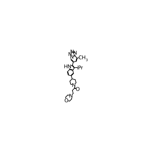 Cc1cc(-c2[nH]c3ccc(C4CCN(C(=O)CCN5CCOCC5)CC4)cc3c2C(C)C)cn2nnnc12